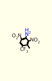 Cc1c(C(F)(F)F)cc([N+](=O)[O-])c(N)c1[N+](=O)[O-]